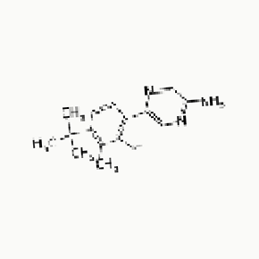 Cc1c(C(C)(C)C)ccc(-c2cnc(N)cn2)c1F